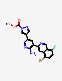 CC(C)(C)OC(=O)n1cc(-c2cnc(N)c(-c3cc4c(Br)ccc(F)c4cn3)c2)cn1